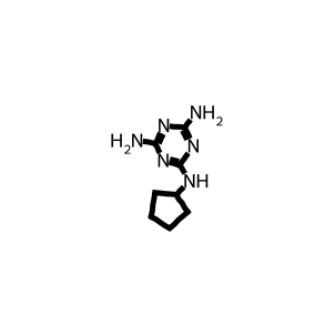 Nc1nc(N)nc(NC2CCCC2)n1